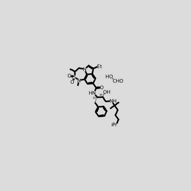 CCc1cn2c3c(cc(C(=O)N[C@@H](Cc4ccccc4)[C@H](O)CNC(C)(C)CCCC(C)C)cc13)N(C)S(=O)(=O)C(C)C2.O=CO